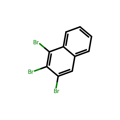 Brc1cc2ccccc2c(Br)c1Br